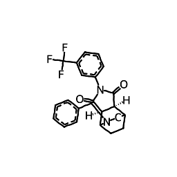 O=C1[C@@H]2C3CCC(CN3Cc3ccccc3)[C@@H]2C(=O)N1c1cccc(C(F)(F)F)c1